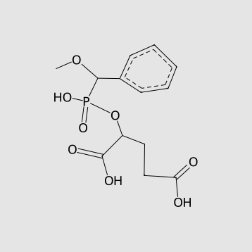 COC(c1ccccc1)P(=O)(O)OC(CCC(=O)O)C(=O)O